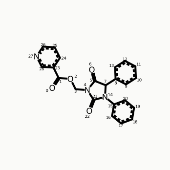 O=C(OCN1C(=O)C(c2ccccc2)N(c2ccccc2)C1=O)c1cccnc1